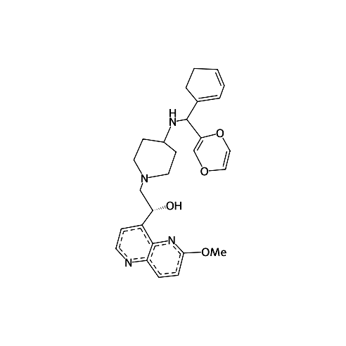 COc1ccc2nccc([C@@H](O)CN3CCC(NC(C4=CC=CCC4)C4=COC=CO4)CC3)c2n1